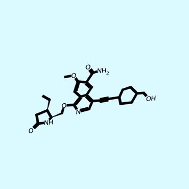 CC[C@@H]1CC(=O)N[C@@H]1COc1ncc(C#CC2CCC(CO)CC2)c2cc(C(N)=O)c(OC)cc12